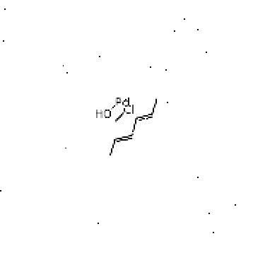 CC=CC=CC.CCl.[OH][Pd]